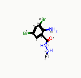 CCNNC(=O)c1cc(Br)cc(Br)c1N